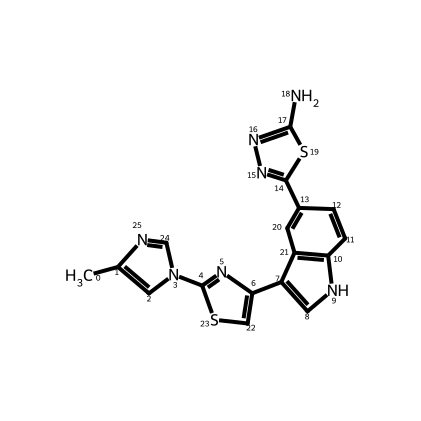 Cc1cn(-c2nc(-c3c[nH]c4ccc(-c5nnc(N)s5)cc34)cs2)cn1